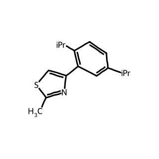 Cc1nc(-c2cc(C(C)C)ccc2C(C)C)cs1